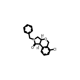 O=C1[C@@H]2c3cccc(Cl)c3CO[C@@H]2CN1Cc1ccccc1